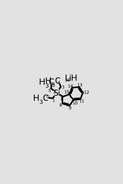 CC[Si](CC)(CC)C1C=Cc2ccccc21.[LiH]